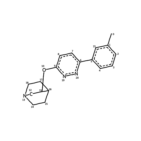 Cc1cccc(-c2ccc(OC3CN4CCC3CC4)nn2)c1